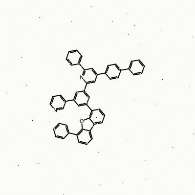 c1ccc(-c2ccc(-c3cc(-c4ccccc4)nc(-c4cc(-c5cccnc5)cc(-c5cccc6c5oc5c(-c7ccccc7)cccc56)c4)c3)cc2)cc1